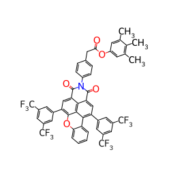 Cc1cc(OC(=O)Cc2ccc(-n3c(=O)c4cc(-c5cc(C(F)(F)F)cc(C(F)(F)F)c5)c5oc6ccccc6c6c(-c7cc(C(F)(F)F)cc(C(F)(F)F)c7)cc(c3=O)c4c56)cc2)cc(C)c1C